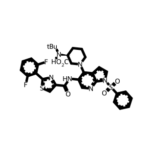 CC(C)(C)N(C(=O)O)[C@H]1CCCN(c2c(NC(=O)c3csc(-c4c(F)cccc4F)n3)cnc3c2ccn3S(=O)(=O)c2ccccc2)C1